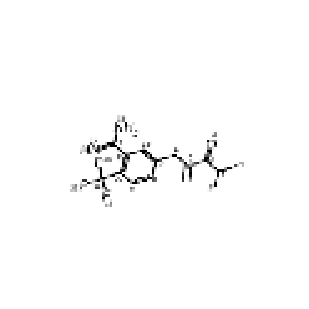 CC(C)C(=O)NCc1ccc(C(F)(F)F)c(C(=N)N)c1